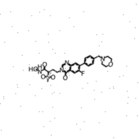 CS(=O)(=O)[C@H](CCn1cnc2cc(-c3ccc(CN4CCOCC4)cc3)c(F)cc2c1=O)C(=O)NO